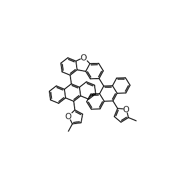 Cc1ccc(-c2c3ccccc3c(-c3ccc4oc5cccc(-c6c7ccccc7c(-c7ccc(C)o7)c7ccccc67)c5c4c3)c3ccccc23)o1